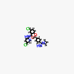 N=C(c1ccc(COc2ccc(Cl)cc2C(=O)Nc2ccc(Cl)cn2)cc1)N1CCC1